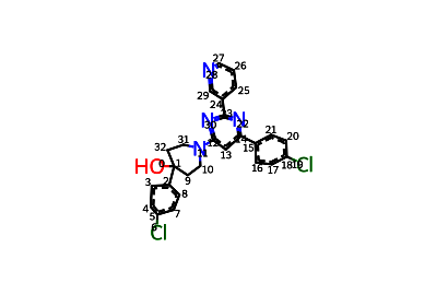 OC1(c2ccc(Cl)cc2)CCN(c2cc(-c3ccc(Cl)cc3)nc(-c3cccnc3)n2)CC1